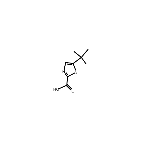 CC(C)(C)c1cnc(C(=O)O)s1